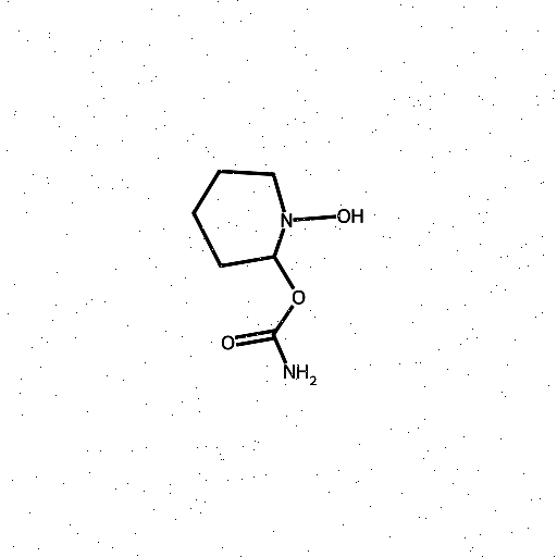 NC(=O)OC1CCCCN1O